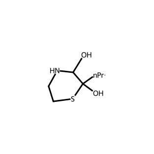 CC[CH]C1(O)SCCNC1O